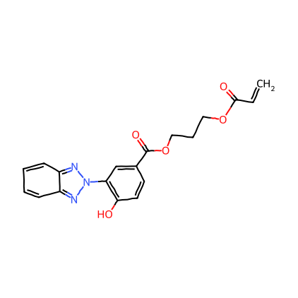 C=CC(=O)OCCCOC(=O)c1ccc(O)c(-n2nc3ccccc3n2)c1